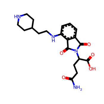 NC(=O)CCC(C(=O)O)N1C(=O)c2cccc(NCCC3CCNCC3)c2C1=O